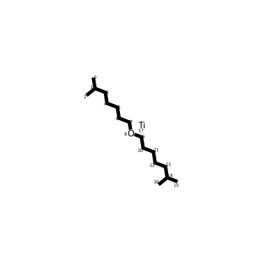 CC(C)CCCCCOCCCCCC(C)C.[Ti]